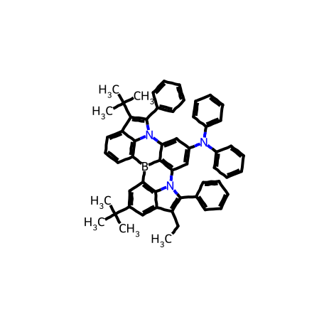 CCc1c(-c2ccccc2)n2c3c(cc(C(C)(C)C)cc13)B1c3c-2cc(N(c2ccccc2)c2ccccc2)cc3-n2c(-c3ccccc3)c(C(C)(C)C)c3cccc1c32